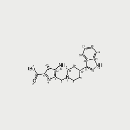 CC(C)(C)C(=O)c1nc(CN2CCC(c3c[nH]c4ccccc34)CC2)c(N)s1